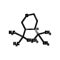 CC(C)(C)C1COCC[C@@H]1C(C)(C)C